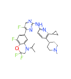 CC(C)N1CC(F)(F)Oc2c(F)cc(-c3nc(Nc4ccc(C5CCN(C)CC5)c(C5CC5)n4)ncc3F)cc21